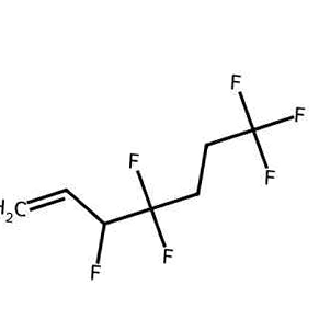 C=CC(F)C(F)(F)CCC(F)(F)F